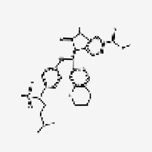 COC(=O)c1ccc2c(c1)NC(=O)/C2=C(\Nc1ccc(N(CCN(C)C)S(C)(=O)=O)cc1)c1ccc2c(c1)OCCO2